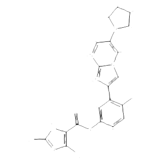 Cc1nc(C)c(C(=O)Nc2ccc(F)c(-c3cn4cc(N5CCCC5)cnc4n3)c2)o1